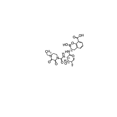 CCN1CCN(C(=O)N[C@H](C(=O)N[C@H]2Cc3cccc(C(=O)O)c3OB2O)[C@H](O)C(F)F)C(=O)C1=O